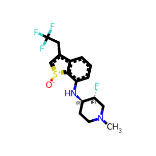 CN1CC[C@@H](Nc2cccc3c(CC(F)(F)F)c[s+]([O-])c23)[C@H](F)C1